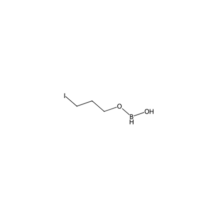 OBOCCCI